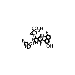 CCc1c(F)ccc2cc(O)cc(-c3ncc4c(N5CCC(C(=O)O)C6CC65)nc(OC[C@@]56CCCN5C[C@H](F)C6)nc4c3F)c12